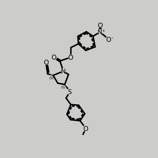 COc1ccc(CS[C@H]2C[C@@H](C=O)N(C(=O)OCc3ccc([N+](=O)[O-])cc3)C2)cc1